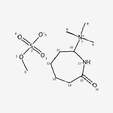 COS(=O)(=O)[O-].C[N+](C)(C)C1CCCCC(=O)N1